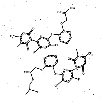 CC(C)COC(=O)COc1ncccc1Oc1nc(-n2c(=O)cc(C(F)(F)F)n(C)c2=O)c(F)cc1Cl.Cn1c(C(F)(F)F)cc(=O)n(-c2nc(Oc3cccnc3OCC(=O)OCC(F)F)c(Cl)cc2F)c1=O